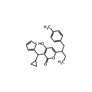 CCC(Cc1ccc(C)cc1)c1cc(O)c(C(c2cccs2)C2CC2)c(=O)o1